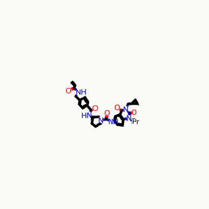 C=CC(=O)NCc1ccc(C(=O)N[C@@H]2CCCN(C(=O)Nc3ccc4c(c3)c(=O)n(CC3CC3)c(=O)n4C(C)C)C2)cc1